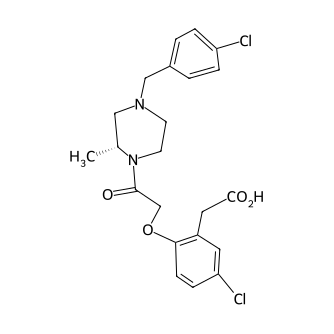 C[C@@H]1CN(Cc2ccc(Cl)cc2)CCN1C(=O)COc1ccc(Cl)cc1CC(=O)O